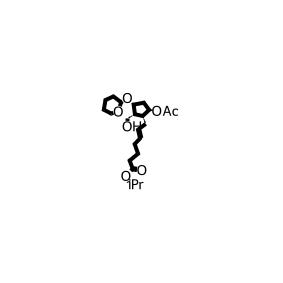 CC(=O)O[C@H]1C[C@@H](OC2CCCCO2)[C@@H](CO)[C@H]1CC=CCCCC(=O)OC(C)C